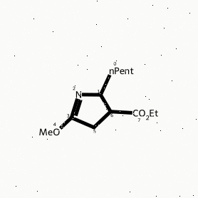 CCCCCC1N=C(OC)CC1C(=O)OCC